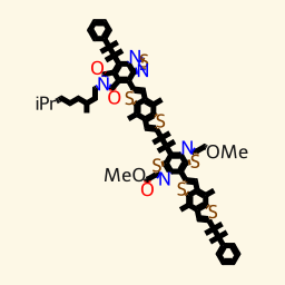 COCc1nc2c(C(C)(C)C(C)(C)c3cc4c(C)c5sc(-c6c7c(c(C(C)(C)C(C)(C)c8ccccc8)c8nsnc68)C(=O)N(CCC(C)CCCC(C)C)C7=O)cc5c(C)c4s3)c3sc(C(=O)OC)nc3c(-c3cc4c(C)c5sc(C(C)(C)C(C)(C)c6ccccc6)cc5c(C)c4s3)c2s1